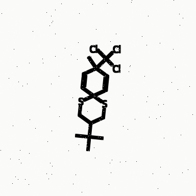 CC(C)(C)C1CSC2(C=CC(C)(C(Cl)(Cl)Cl)C=C2)SC1